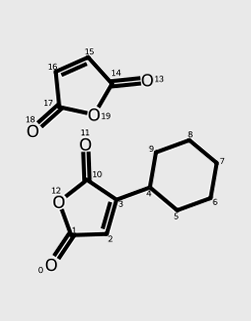 O=C1C=C(C2CCCCC2)C(=O)O1.O=C1C=CC(=O)O1